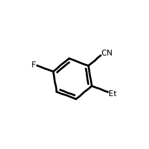 CCc1ccc(F)cc1C#N